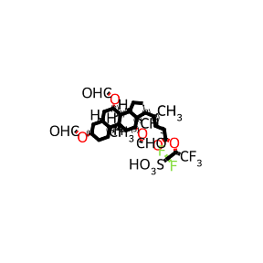 C[C@H](CCC(=O)OC(C(F)(F)F)C(F)(F)S(=O)(=O)O)[C@H]1CC[C@H]2[C@@H]3[C@H](OC=O)C[C@@H]4C[C@H](OC=O)CC[C@]4(C)[C@H]3C[C@H](OC=O)[C@]12C